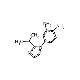 CC(C)c1nccn1-c1ccc(N)c(N)c1